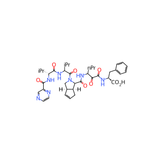 CCCC(NC(=O)C1[C@H]2CC=C[C@H]2CN1C(=O)C(NC(=O)[C@H](NC(=O)c1cnccn1)C(C)C)C(C)C)C(=O)C(=O)N[C@@H](Cc1ccccc1)C(=O)O